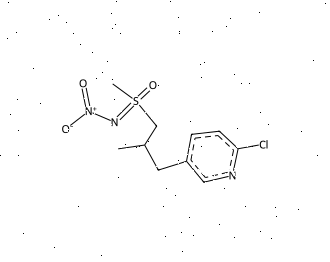 CC(Cc1ccc(Cl)nc1)CS(C)(=O)=N[N+](=O)[O-]